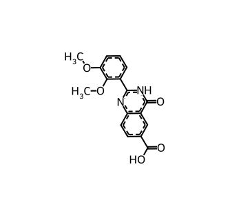 COc1cccc(-c2nc3ccc(C(=O)O)cc3c(=O)[nH]2)c1OC